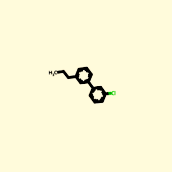 CCCc1cccc(-c2cccc(Cl)c2)c1